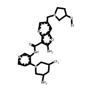 CCOC1CCN(Cc2cnc3c(C(=O)Nc4cnccc4N4CC(N)CC(C(F)(F)F)C4)c(N)oc3c2)C1